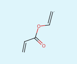 [CH]=COC(=O)C=C